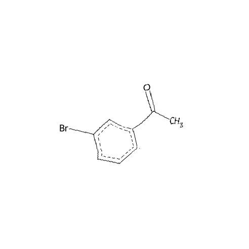 CC(=O)c1[c]ccc(Br)c1